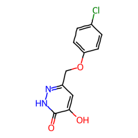 O=c1[nH]nc(COc2ccc(Cl)cc2)cc1O